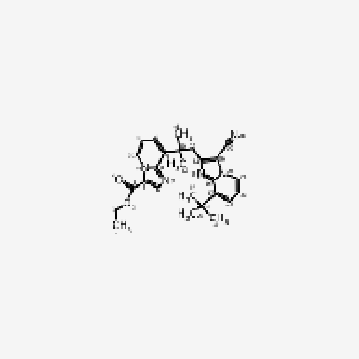 CCOC(=O)c1cnc2c(C(C)(C)Cc3nc4c(C(C)(C)C)cccn4c3C#N)cccn12